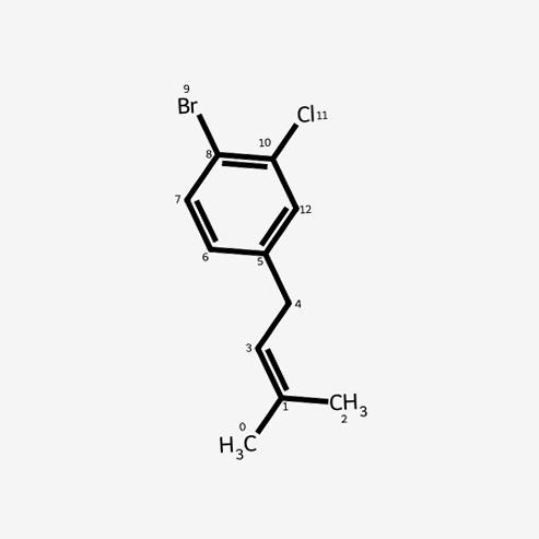 CC(C)=CCc1ccc(Br)c(Cl)c1